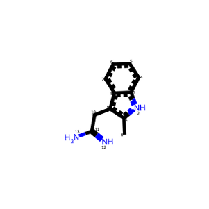 Cc1[nH]c2ccccc2c1CC(=N)N